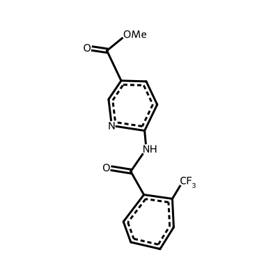 COC(=O)c1ccc(NC(=O)c2ccccc2C(F)(F)F)nc1